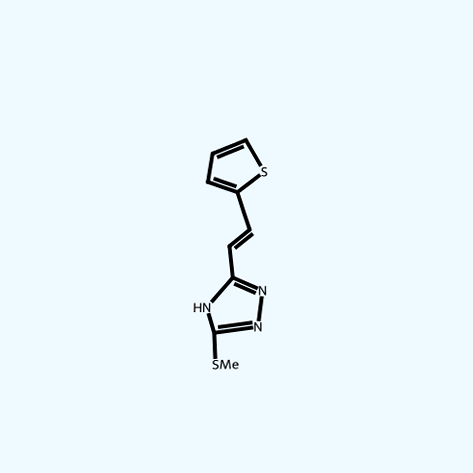 CSc1nnc(C=Cc2cccs2)[nH]1